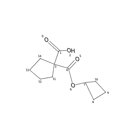 O=C(O)C1(C(=O)OC2CCC2)CCCC1